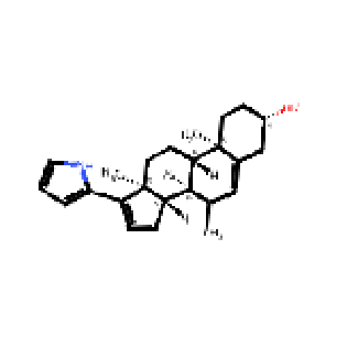 CC1C=C2C[C@@H](O)CC[C@]2(C)[C@H]2CC[C@]3(C)C(c4ccc[nH]4)=CC[C@H]3[C@H]12